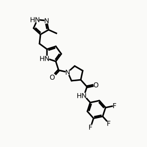 Cc1n[nH]cc1Cc1ccc(C(=O)N2CCC(C(=O)Nc3cc(F)c(F)c(F)c3)C2)[nH]1